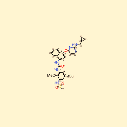 COc1c(NC(=O)Nc2ccc(Oc3ccnc(NCC4CC4)n3)c3ccccc23)cc(C(C)(C)C)cc1NS(C)(=O)=O